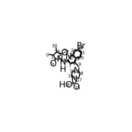 CC1C(=O)N(Nc2cc(CN3CCN(C(=O)O)CC3)c3ccc(Br)cc3n2)C(=O)C1C